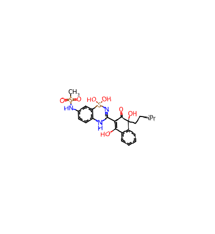 CC(C)CCC1(O)C(=O)C(C2=NS(O)(O)c3cc(NS(C)(=O)=O)ccc3N2)=C(O)c2ccccc21